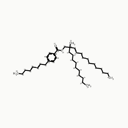 CCCCCCCCCCCCC(C)(CCCCCCCCCC)COC(=O)c1ccc(CCCCCCCC)cc1